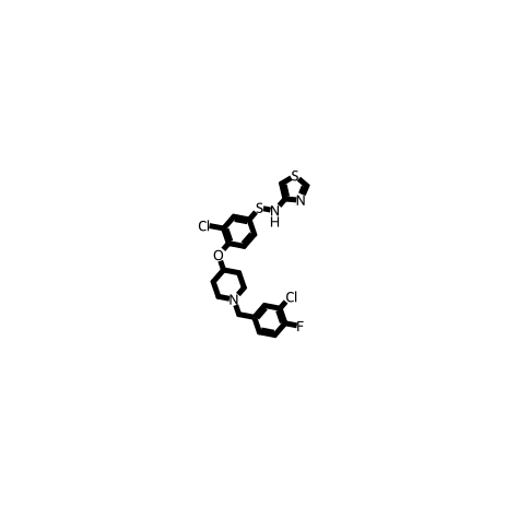 Fc1ccc(CN2CCC(Oc3ccc(SNc4cscn4)cc3Cl)CC2)cc1Cl